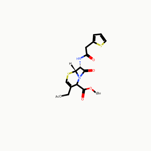 CC(=O)OCC1=CS[C@@H]2[C@H](NC(=O)Cc3cccs3)C(=O)N2C1C(=O)OC(C)(C)C